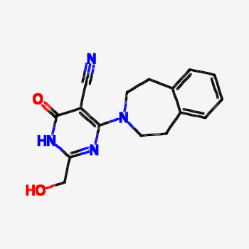 N#Cc1c(N2CCc3ccccc3CC2)nc(CO)[nH]c1=O